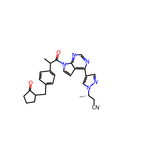 CC(C(=O)n1ccc2c(-c3cnn([C@@H](C)CC#N)c3)ncnc21)c1ccc(CC2CCCC2=O)cc1